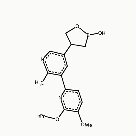 CCCOc1nc(-c2cc(C3COB(O)C3)cnc2C)ccc1OC